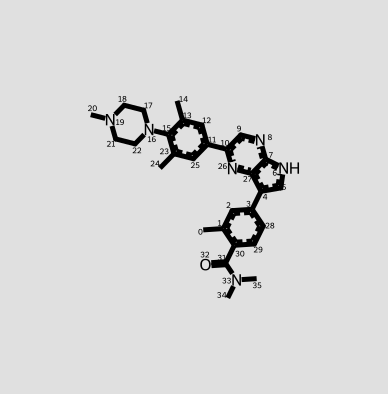 Cc1cc(-c2c[nH]c3ncc(-c4cc(C)c(N5CCN(C)CC5)c(C)c4)nc23)ccc1C(=O)N(C)C